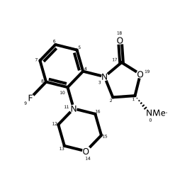 C[N][C@@H]1CN(c2cccc(F)c2N2CCOCC2)C(=O)O1